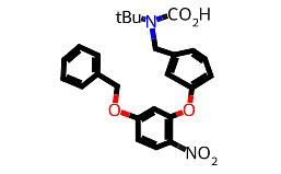 CC(C)(C)N(Cc1cccc(Oc2cc(OCc3ccccc3)ccc2[N+](=O)[O-])c1)C(=O)O